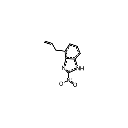 C=CCc1cccc2[nH]c([N+](=O)[O-])nc12